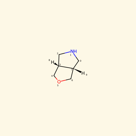 C1NC[C@H]2COC[C@@H]12